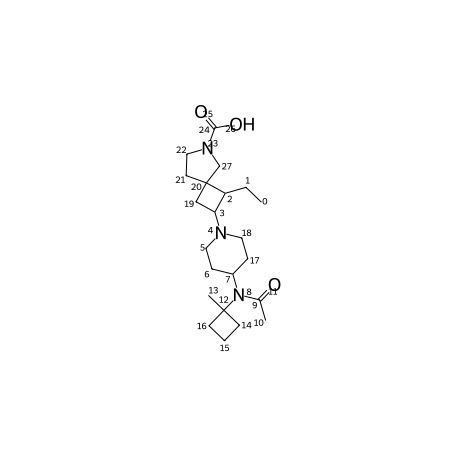 CCC1C(N2CCC(N(C(C)=O)C3(C)CCC3)CC2)CC12CCN(C(=O)O)C2